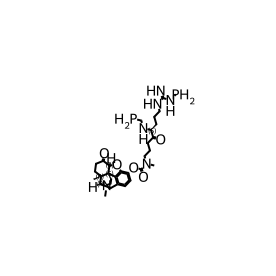 CN(CCCC(=O)[C@H](CCCNC(=N)NP)NCP)C(=O)Oc1ccc2c3c1O[C@H]1C(=O)CC[C@@]4(C)[C@@H](C2)N(C)CC[C@]314